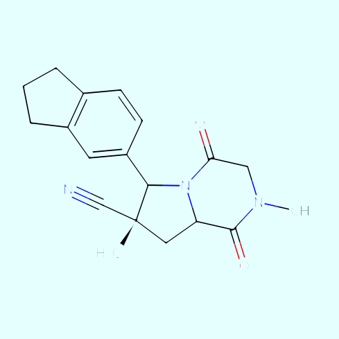 CN1CC(=O)N2C(C[C@](C)(C#N)C2c2ccc3c(c2)CCC3)C1=O